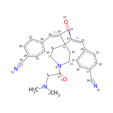 CN(C)CC(=O)N1CCC2(CC1)/C(=C\c1ccc(C#N)cc1)C(=O)/C2=C/c1ccc(C#N)cc1